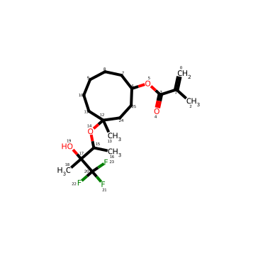 C=C(C)C(=O)OC1CCCCCC(C)(OC(C)C(C)(O)C(F)(F)F)CC1